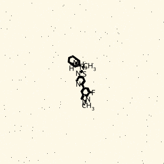 CN(c1nc2cnc(-c3cc(F)c4nn(C)cc4c3)cc2s1)C1CC2CCC[C@H](C1)N2C